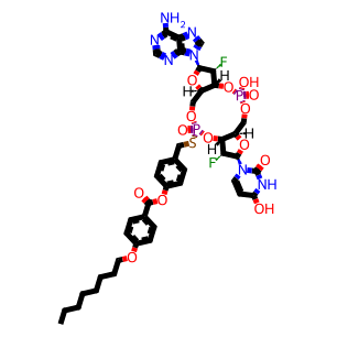 CCCCCCCCOc1ccc(C(=O)Oc2ccc(CSP3(=O)OC[C@H]4O[C@@H](n5cnc6c(N)ncnc65)[C@H](F)[C@@H]4OP(=O)(O)OC[C@H]4O[C@@H](N5C=CC(O)NC5=O)[C@H](F)[C@@H]4O3)cc2)cc1